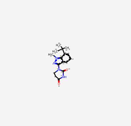 Cn1nc(N2CCC(=O)NC2=O)c2cccc(C(C)(C)C)c21